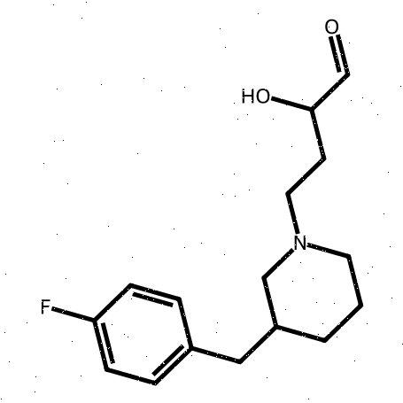 O=CC(O)CCN1CCCC(Cc2ccc(F)cc2)C1